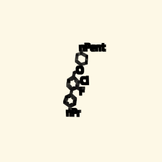 CCCCCC1CCC(OCc2ccc(-c3ccc(CCC)cc3)c(F)c2Cl)CC1